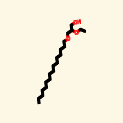 CCCCCCCCCCCCCCCCOCC(CO)OCC